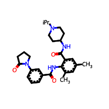 Cc1cc(C)c(NC(=O)c2cccc(N3CCCC3=O)c2)c(C(=O)NC2CCN(C(C)C)CC2)c1